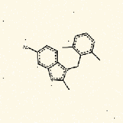 CC(=O)c1ccc2c(c1)nc(C)n2Cc1c(C)cccc1C